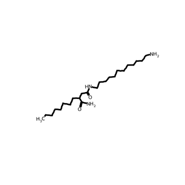 CCCCCCCCC(CC(=O)NCCCCCCCCCCCCN)C(N)=O